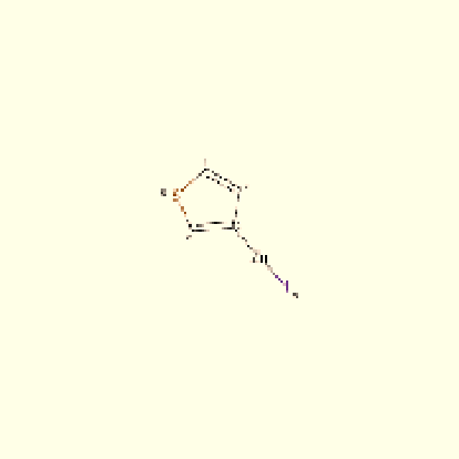 [I][Zn][c]1ccsc1